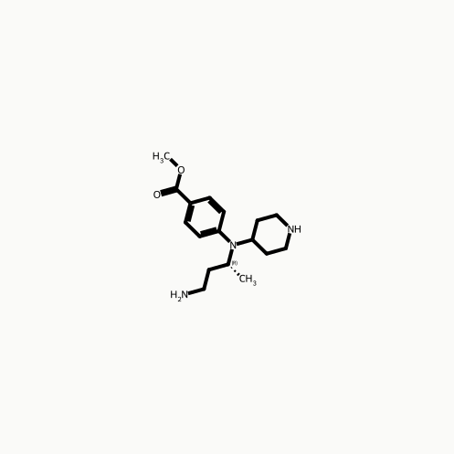 COC(=O)c1ccc(N(C2CCNCC2)[C@H](C)CCN)cc1